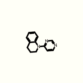 c1ccc2c(c1)CCCN2c1ccncn1